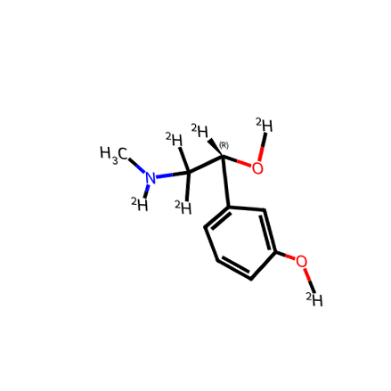 [2H]Oc1cccc([C@@]([2H])(O[2H])C([2H])([2H])N([2H])C)c1